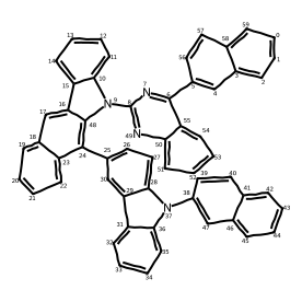 c1ccc2cc(-c3nc(-n4c5ccccc5c5cc6ccccc6c(-c6ccc7c(c6)c6ccccc6n7-c6ccc7ccccc7c6)c54)nc4ccccc34)ccc2c1